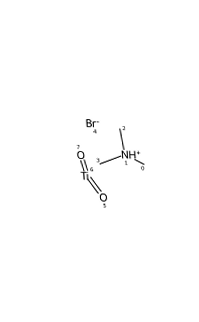 C[NH+](C)C.[Br-].[O]=[Ti]=[O]